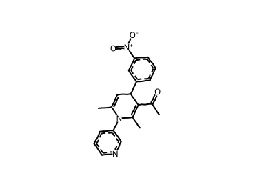 CC(=O)C1=C(C)N(c2cccnc2)C(C)=CC1c1cccc([N+](=O)[O-])c1